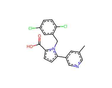 Cc1cncc(-c2ccc(C(=O)O)n2Cc2cc(Cl)ccc2Cl)c1